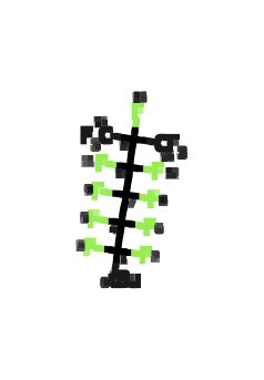 CC(C)(C)C(F)(F)C(F)(F)C(F)(F)C(F)(F)C(F)(C(F)(F)F)C(F)(F)F